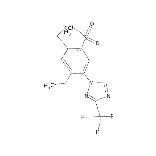 CCc1cc(CC)c(S(=O)(=O)Cl)cc1-n1cnc(C(F)(F)F)n1